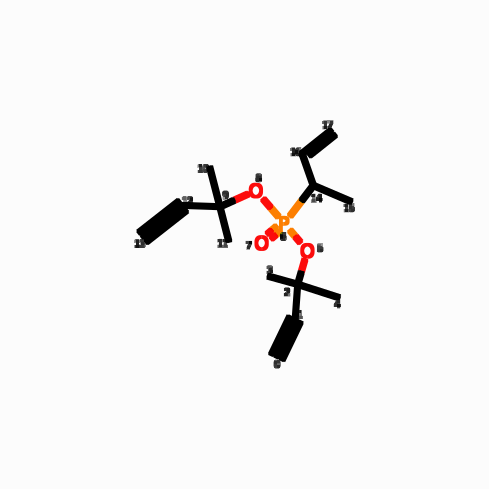 C#CC(C)(C)OP(=O)(OC(C)(C)C#C)C(C)C=C